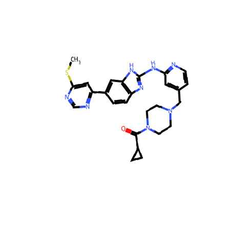 CSc1cc(-c2ccc3nc(Nc4cc(CN5CCN(C(=O)C6CC6)CC5)ccn4)[nH]c3c2)ncn1